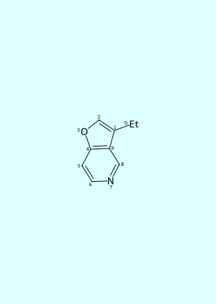 CCc1coc2ccncc12